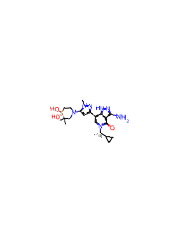 C[C@@H](C1CC1)n1cc(-c2cc(N3CCS(O)(O)C(C)(C)C3)n(C)n2)c2[nH]nc(N)c2c1=O